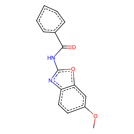 COc1ccc2nc(NC(=O)c3ccccc3)oc2c1